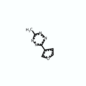 Cc1nnc(-c2ccoc2)nn1